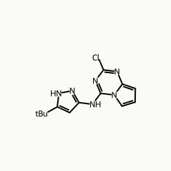 CC(C)(C)c1cc(Nc2nc(Cl)nc3cccn23)n[nH]1